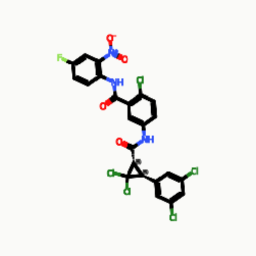 O=C(Nc1ccc(F)cc1[N+](=O)[O-])c1cc(NC(=O)[C@@H]2[C@@H](c3cc(Cl)cc(Cl)c3)C2(Cl)Cl)ccc1Cl